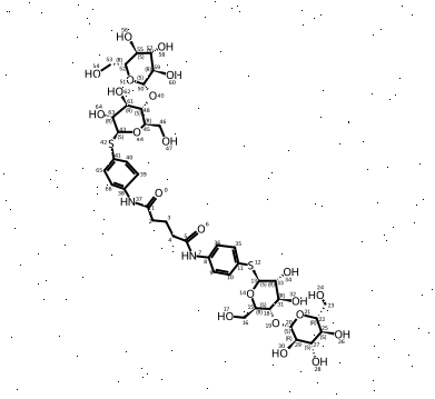 O=C(CCCC(=O)Nc1ccc(S[C@@H]2O[C@H](CO)[C@@H](O[C@@H]3O[C@H](CO)[C@@H](O)[C@H](O)[C@H]3O)[C@H](O)[C@H]2O)cc1)Nc1ccc(S[C@@H]2O[C@H](CO)[C@@H](O[C@@H]3O[C@H](CO)[C@@H](O)[C@H](O)[C@H]3O)[C@H](O)[C@H]2O)cc1